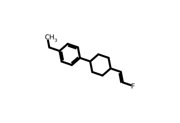 CCc1ccc(C2CCC(/C=C/F)CC2)cc1